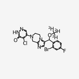 [2H]C([2H])([2H])OC(c1ccc(F)cc1Br)c1cnc2n1CCN(c1cn[nH]c(=O)c1Cl)C2